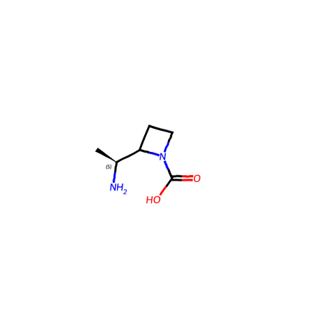 C[C@H](N)C1CCN1C(=O)O